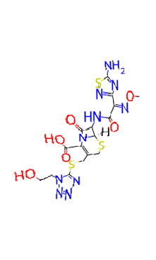 CO/N=C(/C(=O)NC1C(=O)N2C(C(=O)O)=C(CSc3nnnn3CCO)CS[C@H]12)c1nsc(N)n1